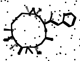 C[C@H]1CCC[C@@]2(C)O[C@H]2C[C@@H](C(F)=Cc2ccccn2)OC(=O)C[C@H](O)C(C)(C)C(=O)[C@H](C)[C@H]1O